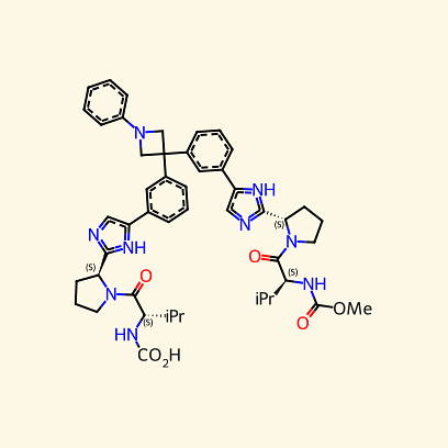 COC(=O)N[C@H](C(=O)N1CCC[C@H]1c1ncc(-c2cccc(C3(c4cccc(-c5cnc([C@@H]6CCCN6C(=O)[C@@H](NC(=O)O)C(C)C)[nH]5)c4)CN(c4ccccc4)C3)c2)[nH]1)C(C)C